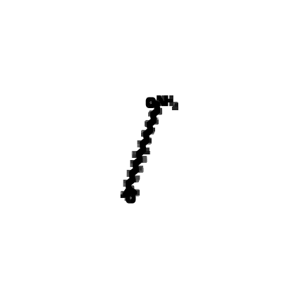 NC(=O)CCCCCCCCCCCCCCCCC1COC1